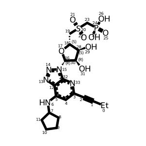 CCC#Cc1cc(NC2CCCC2)c2nnn([C@@H]3O[C@H](CS(=O)(=O)CP(=O)(O)O)[C@@H](O)[C@H]3O)c2n1